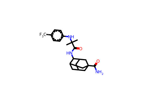 CC(C)(Nc1ccc(C(F)(F)F)cc1)C(=O)NC1C2CC3CC1CC(C(N)=O)(C3)C2